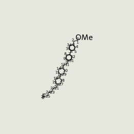 COCCc1ccc(-c2ccc(CCC3CCC(C4CCC(CCCCCF)CC4)CC3)cc2)cc1